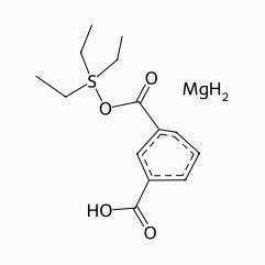 CCS(CC)(CC)OC(=O)c1cccc(C(=O)O)c1.[MgH2]